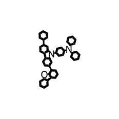 c1ccc(-c2ccc3c4ccc(-c5cccc6c5oc5ccccc56)cc4n(-c4ccc(N(c5ccccc5)c5ccccc5)cc4)c3c2)cc1